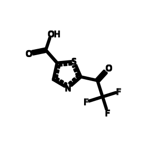 O=C(O)c1cnc(C(=O)C(F)(F)F)s1